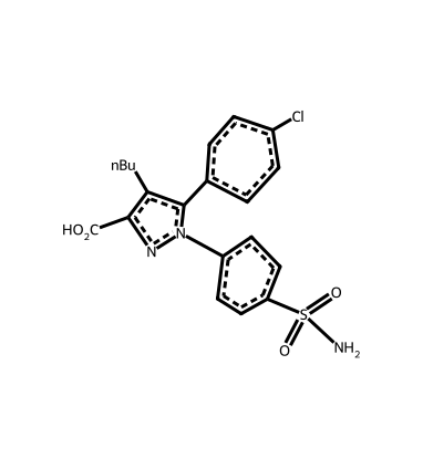 CCCCc1c(C(=O)O)nn(-c2ccc(S(N)(=O)=O)cc2)c1-c1ccc(Cl)cc1